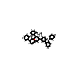 N#Cc1cccc(-n2c3ccccc3c3ccccc32)c1-c1cccc(-c2ccc3c(c2)c2ccccc2n3-c2ccccc2)c1